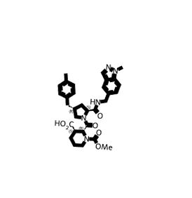 COC(=O)N1CCC[C@H](C(=O)O)[C@@H]1C(=O)N1C[C@H](Cc2ccc(C)cc2)C[C@H]1C(=O)NCc1ccc2c(cnn2C)c1